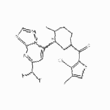 Cc1csc(C(=O)C2CCC(C)[C@H](c3cc(C(F)F)nc4ncnn34)C2)c1Cl